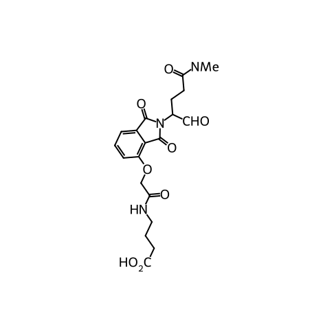 CNC(=O)CCC(C=O)N1C(=O)c2cccc(OCC(=O)NCCCC(=O)O)c2C1=O